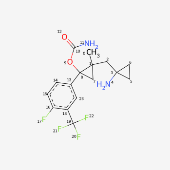 CC1(CC2(N)CC2)CC1(OC(N)=O)c1ccc(F)c(C(F)(F)F)c1